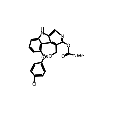 CNC(=O)Oc1ncc2[nH]c3cccc(Oc4ccc(Cl)cc4)c3c2c1COC